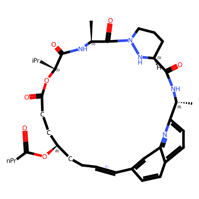 CCCC(=O)O[C@@H]1CC/C=C/c2ccc3ccc(nc3c2)[C@@H](C)NC(=O)[C@@H]2CCCN(N2)C(=O)[C@H](C)NC(=O)[C@H](C(C)C)OC(=O)CC1